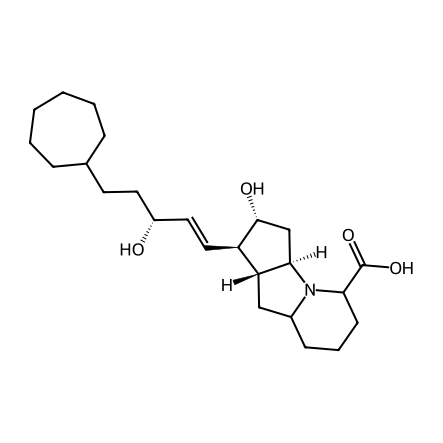 O=C(O)C1CCCC2C[C@@H]3[C@@H](/C=C/[C@H](O)CCC4CCCCCC4)[C@H](O)C[C@H]3N21